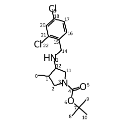 CC1CN(C(=O)OC(C)(C)C)CC1NCc1ccc(Cl)cc1Cl